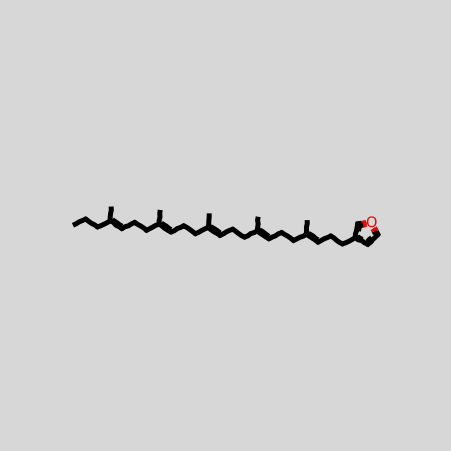 CCC/C(C)=C/CC/C(C)=C/CC/C(C)=C/CC/C(C)=C/CC/C(C)=C/CCc1ccoc1